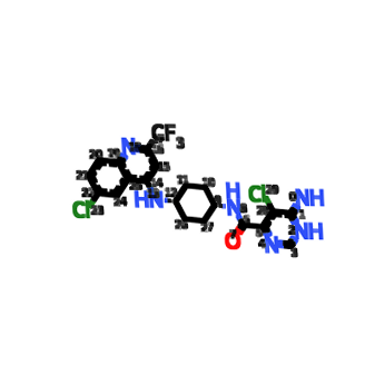 N=c1[nH]cnc(C(=O)N[C@H]2CC[C@@H](Nc3cc(C(F)(F)F)nc4ccc(Cl)cc34)CC2)c1Cl